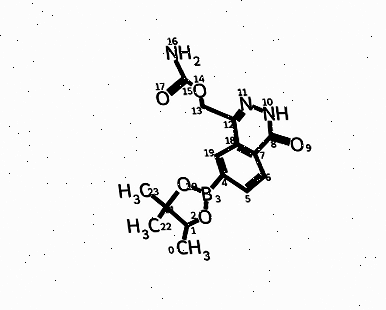 CC1OB(c2ccc3c(=O)[nH]nc(COC(N)=O)c3c2)OC1(C)C